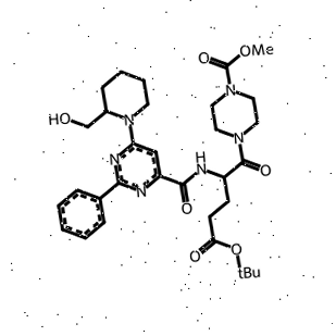 COC(=O)N1CCN(C(=O)C(CCC(=O)OC(C)(C)C)NC(=O)c2cc(N3CCCCC3CO)nc(-c3ccccc3)n2)CC1